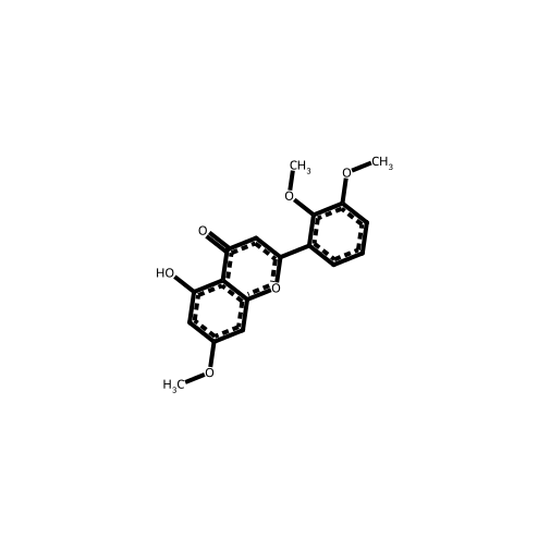 COc1cc(O)c2c(=O)cc(-c3cccc(OC)c3OC)oc2c1